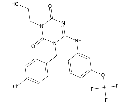 O=c1nc(Nc2cccc(OC(F)(F)F)c2)n(Cc2ccc(Cl)cc2)c(=O)n1CCO